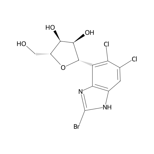 OC[C@H]1O[C@@H](c2c(Cl)c(Cl)cc3[nH]c(Br)nc23)[C@H](O)[C@@H]1O